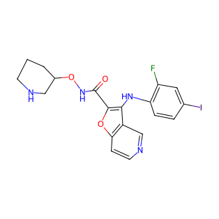 O=C(NOC1CCCNC1)c1oc2ccncc2c1Nc1ccc(I)cc1F